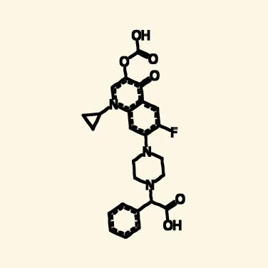 O=C(O)Oc1cn(C2CC2)c2cc(N3CCN(C(C(=O)O)c4ccccc4)CC3)c(F)cc2c1=O